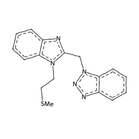 CSCCn1c(Cn2nnc3ccccc32)nc2ccccc21